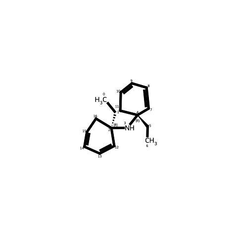 CC[C@]1(N[C@@]2(CC)C=CC=CC2)C=CC=CC1